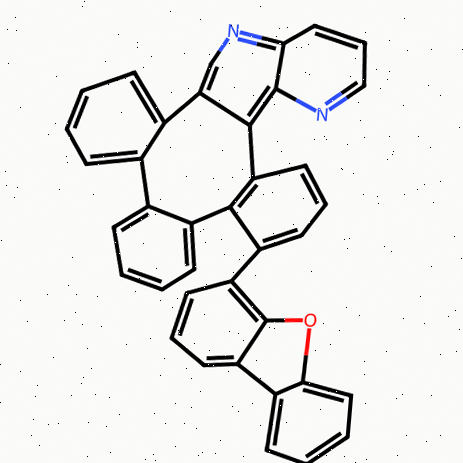 c1ccc2c(c1)-c1ccccc1-c1c(cccc1-c1cccc3c1oc1ccccc13)-c1c-2cnc2cccnc12